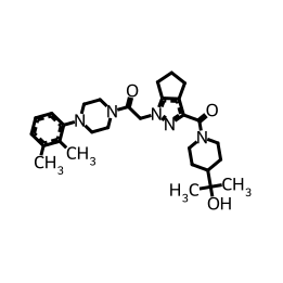 Cc1cccc(N2CCN(C(=O)Cn3nc(C(=O)N4CCC(C(C)(C)O)CC4)c4c3CCC4)CC2)c1C